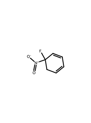 O=[N+]([O-])C1(F)C=CC=CC1